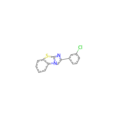 Clc1cccc(-c2cn3c(n2)sc2ccccc23)c1